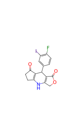 O=C1CCC2=C1C(c1ccc(F)c(I)c1)C1=C(COC1=O)N2